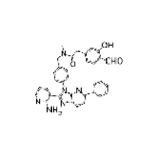 CN(Cc1ccc(-n2c(-c3cccnc3N)nc3ccc(-c4ccccc4)nc32)cc1)C(=O)Cc1ccc(C=O)c(O)c1